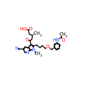 CC(=O)Nc1cccc(COCCCCc2c(C(=O)C[C@H](C)CC(=O)O)c3cc(C#N)cnc3n2C)c1